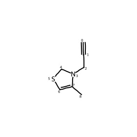 C#CCN1CSC=C1C